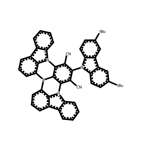 CC(C)(C)c1ccc2c(c1)c1cc(C(C)(C)C)ccc1n2-c1c(C#N)c2c3c(c1C#N)-n1c4ccccc4c4cccc(c41)B3c1cccc3c4ccccc4n-2c13